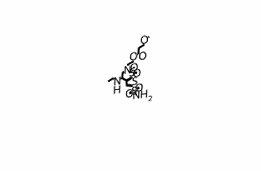 CCN[C@H]1CN(CCOC(=O)CCOC)S(=O)(=O)c2sc(S(N)(=O)=O)cc21